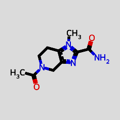 CC(=O)N1CCc2c(nc(C(N)=O)n2C)C1